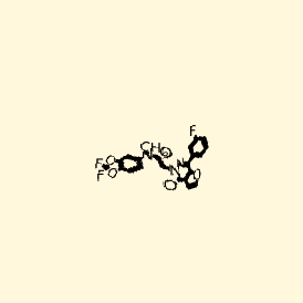 CN(C(=O)Cn1nc(-c2cccc(F)c2)c2occc2c1=O)c1ccc2c(c1)OC(F)(F)O2